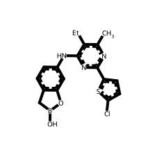 CCc1c(C)nc(-c2ccc(Cl)s2)nc1Nc1ccc2c(c1)OB(O)C2